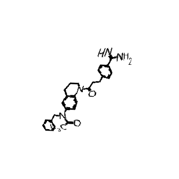 CC(=O)N(Cc1ccccc1)c1ccc2c(c1)CCCN2C(=O)CCc1ccc(C(=N)N)cc1